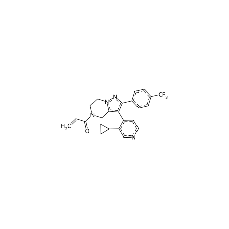 C=CC(=O)N1CCn2nc(-c3ccc(C(F)(F)F)cc3)c(-c3ccncc3C3CC3)c2C1